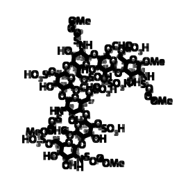 COOOSNC1[C@H](O[C@H]2C(OC=O)O[C@@H](O[C@@H]3C(COS(=O)(=O)O)O[C@@H](O[C@H]4C(OC=O)O[C@@H](O[C@@H]5C(COS(=O)(=O)O)O[C@@H](O[C@H]6C(OC=O)O[C@@H](O[C@@H]7C(COS(=O)(=O)O)O[C@@H](OC)C(NSOOOC)[C@H]7O)C(OS(=O)(=O)O)[C@@H]6O)C(NSOOOC)[C@H]5O)C(OS(=O)(=O)O)[C@@H]4O)C(NSOOOC)[C@H]3O)C(OS(=O)(=O)O)[C@@H]2O)OC(COS(=O)(=O)O)[C@@H](O)[C@@H]1O